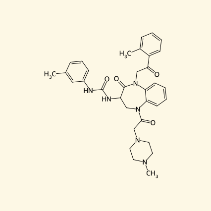 Cc1cccc(NC(=O)NC2CN(C(=O)CN3CCN(C)CC3)c3ccccc3N(CC(=O)c3ccccc3C)C2=O)c1